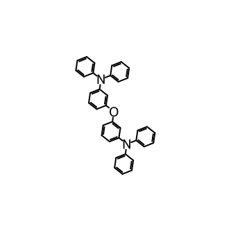 c1ccc(N(c2ccccc2)c2cccc(Oc3cccc(N(c4ccccc4)c4ccccc4)c3)c2)cc1